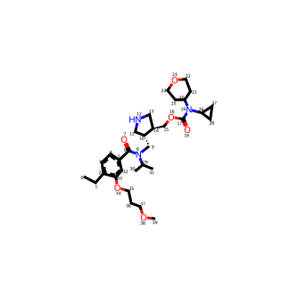 CCc1ccc(C(=O)N(C[C@@H]2CNC[C@H]2COC(=O)N(C2CCOCC2)C2CC2)C(C)C)cc1OCCCOC